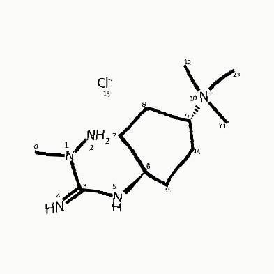 CN(N)C(=N)N[C@H]1CC[C@H]([N+](C)(C)C)CC1.[Cl-]